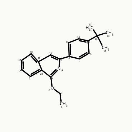 CCOc1nc(-c2ccc(C(C)(C)C)cc2)cc2ccccc12